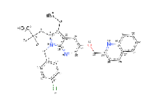 CC(C)(C)Cc1c(CC(C)(C)C(=O)O)n(Cc2ccc(Cl)cc2)c2ncc(OCc3ccc4ccccc4n3)cc12